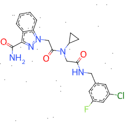 NC(=O)c1nn(CC(=O)N(CC(=O)NCc2cc(F)cc(Cl)c2)C2CC2)c2ccccc12